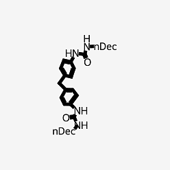 CCCCCCCCCCNC(=O)Nc1ccc(Cc2ccc(NC(=O)NCCCCCCCCCC)cc2)cc1